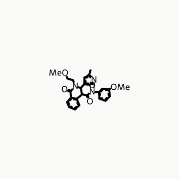 COCCN1C(=O)c2ccccc2C(C(=O)Nc2cccc(OC)c2)C1c1cc(C)no1